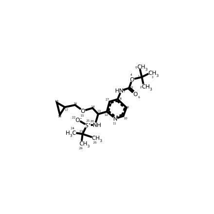 CC(C)(C)OC(=O)Nc1ccnc(C(COCC2CC2)N[S+]([O-])C(C)(C)C)c1